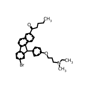 CCCCC(=O)c1ccc2c3c(ccc2c1)-c1ccc(Br)cc1C3c1ccc(OCCCN(C)CC)cc1